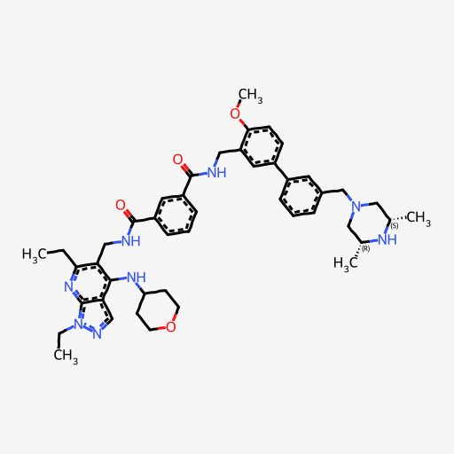 CCc1nc2c(cnn2CC)c(NC2CCOCC2)c1CNC(=O)c1cccc(C(=O)NCc2cc(-c3cccc(CN4C[C@@H](C)N[C@@H](C)C4)c3)ccc2OC)c1